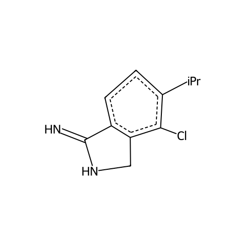 CC(C)c1ccc2c(c1Cl)CNC2=N